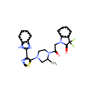 CC1CN(c2scnc2-c2nc3ccccc3[nH]2)CCN1C(=O)CN1C(=O)C(F)(F)c2ccccc21